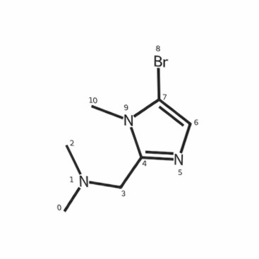 CN(C)Cc1ncc(Br)n1C